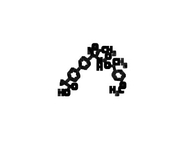 COc1ccc(C(C)OC(=O)Nc2c(-c3ccc(-c4ccc(C5(C(=O)O)CC5)cc4)cc3)noc2C)cc1